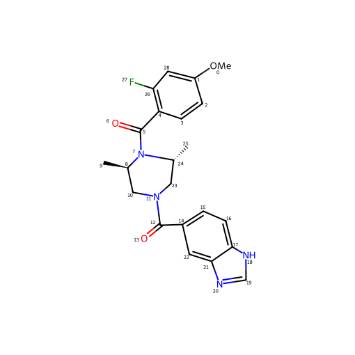 COc1ccc(C(=O)N2[C@H](C)CN(C(=O)c3ccc4[nH]cnc4c3)C[C@H]2C)c(F)c1